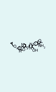 C[C@@H]1OCC2(CCN(c3ncc(Sc4ccnc5c4OC[C@@H]4C[C@H](COCC6CC6)CN54)nc3CO)CC2)[C@@H]1N